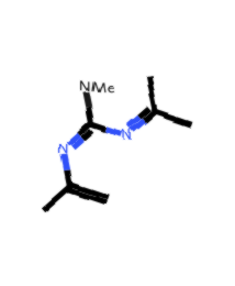 C=C(C)/N=C(\N=C(C)C)NC